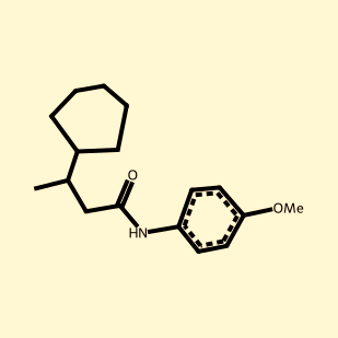 COc1ccc(NC(=O)CC(C)C2CCCCC2)cc1